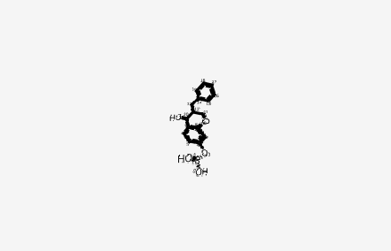 OB(O)Oc1ccc2c(c1)OCC(Cc1ccccc1)C2O